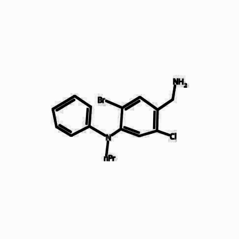 CCCN(c1ccccc1)c1cc(Cl)c(CN)cc1Br